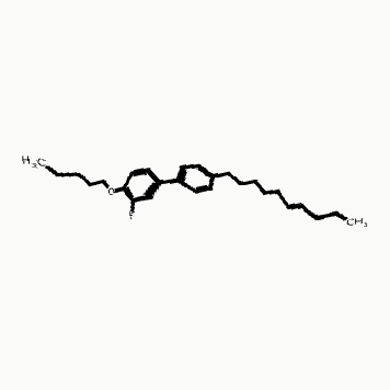 CCCCCCCCCCc1ccc(-c2ccc(OCCCCC)c(F)c2)cc1